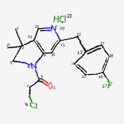 CC1(C)CN(C(=O)CCl)c2cc(Cc3ccc(F)cc3)ncc21.Cl